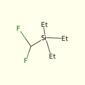 CC[Si](CC)(CC)C(F)F